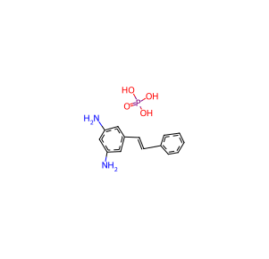 Nc1cc(N)cc(C=Cc2ccccc2)c1.O=P(O)(O)O